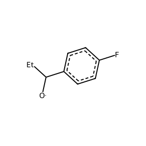 CCC([O])c1ccc(F)cc1